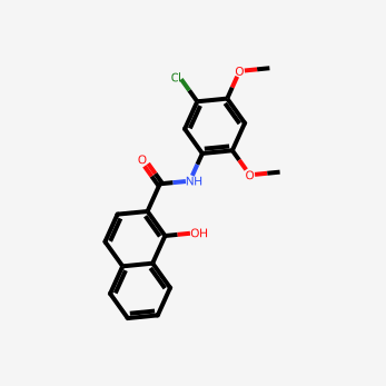 COc1cc(OC)c(NC(=O)c2ccc3ccccc3c2O)cc1Cl